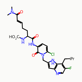 CC(C)Cc1c(F)cnc2cc(Cn3c(Cl)ccc(NC(=O)C(CC/C=C/C(=O)N(C)C)NC(=O)O)c3=O)[nH]c12